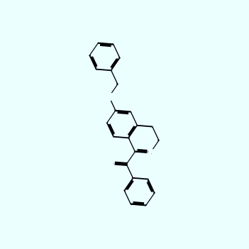 O=C(C1=NCCc2cc(OCc3ccccc3)ccc21)c1ccccc1